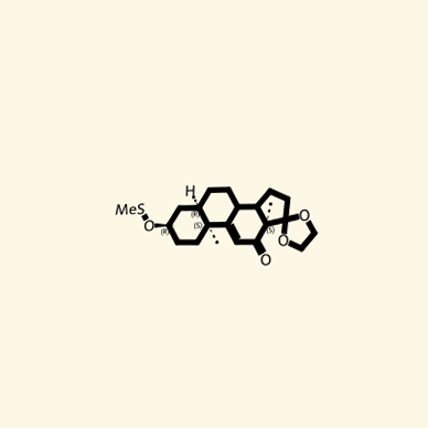 CSO[C@@H]1CC[C@]2(C)C3=CC(=O)[C@@]4(C)C(CCC45OCCO5)C3CC[C@@H]2C1